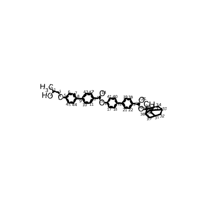 CC(O)COc1ccc(-c2ccc(C(=O)Oc3ccc(-c4ccc(C(=O)OC5(C)C6CC7CC(C6)CC5C7)cc4)cc3)cc2)cc1